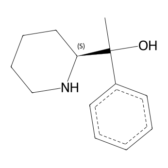 CC(O)(c1ccccc1)[C@@H]1CCCCN1